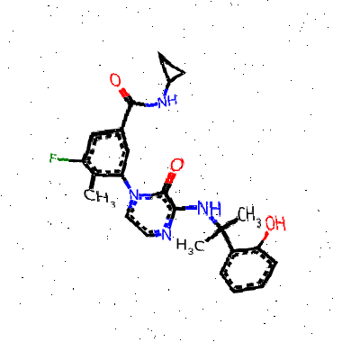 Cc1c(F)cc(C(=O)NC2CC2)cc1-n1ccnc(NC(C)(C)c2ccccc2O)c1=O